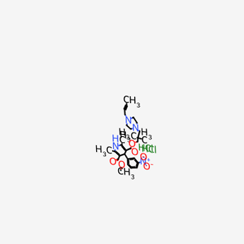 CC#CCN1CCN(CC(C)(C)COC(=O)C2=C(C)NC(C)=C(C(=O)OC)C2c2cccc([N+](=O)[O-])c2)CC1.Cl.Cl